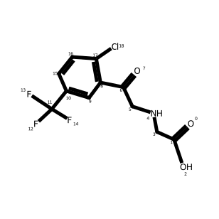 O=C(O)CNCC(=O)c1cc(C(F)(F)F)ccc1Cl